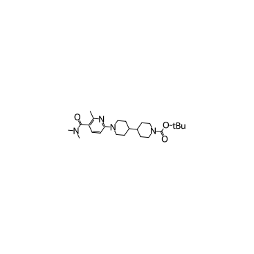 Cc1nc(N2CCC(C3CCN(C(=O)OC(C)(C)C)CC3)CC2)ccc1C(=O)N(C)C